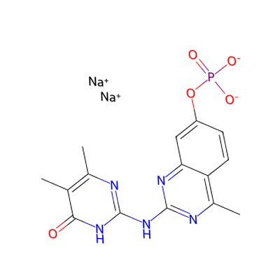 Cc1nc(Nc2nc(C)c3ccc(OP(=O)([O-])[O-])cc3n2)[nH]c(=O)c1C.[Na+].[Na+]